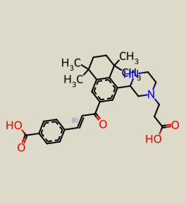 CC1(C)CCC(C)(C)c2c(C3CN(CCC(=O)O)CCN3)cc(C(=O)/C=C/c3ccc(C(=O)O)cc3)cc21